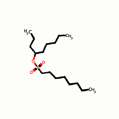 CCCCCCCCS(=O)(=O)OC(CCC)CCCCC